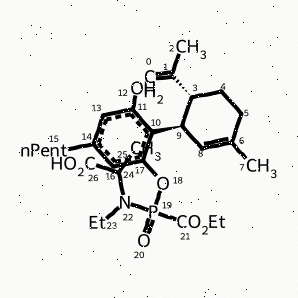 C=C(C)[C@@H]1CCC(C)=C[C@H]1c1c(O)cc(CCCCC)cc1OP(=O)(C(=O)OCC)N(CC)C(C)C(=O)O